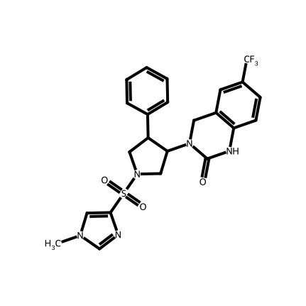 Cn1cnc(S(=O)(=O)N2CC(c3ccccc3)C(N3Cc4cc(C(F)(F)F)ccc4NC3=O)C2)c1